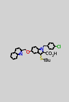 CC(C)(C)Sc1c(C(=O)O)n(Cc2ccc(Cl)cc2)c2ccc(OCc3ccc4ccccc4n3)cc12